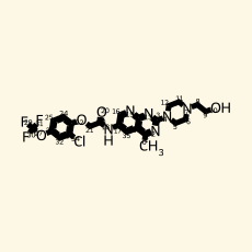 Cc1nc(N2CCN(CCO)CC2)nc2ncc(NC(=O)COc3ccc(OC(F)(F)F)cc3Cl)cc12